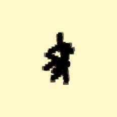 C=Cc1c(SC(C)(C)C)c2sc(-c3ccc(C4=C5C(=O)N(CC(CCCCCC)CCCCCCCC)C(c6ccc(C(C)(C)C)s6)=C5C(=O)N4CC(CCCCCC)CCCCCCCC)s3)cc2c2nc(CCCCCC)c(CCCCCC)nc12